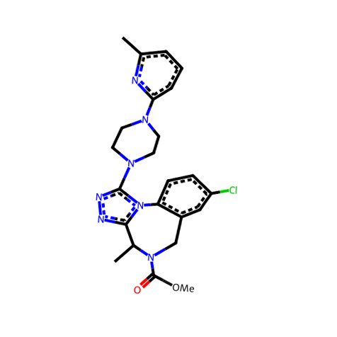 COC(=O)N1Cc2cc(Cl)ccc2-n2c(nnc2N2CCN(c3cccc(C)n3)CC2)C1C